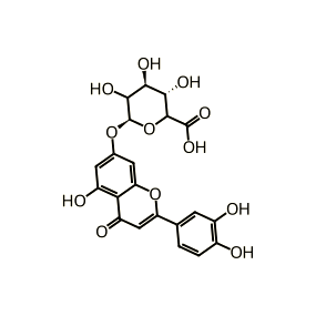 O=C(O)C1O[C@@H](Oc2cc(O)c3c(=O)cc(-c4ccc(O)c(O)c4)oc3c2)C(O)[C@@H](O)[C@@H]1O